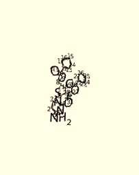 Nc1ccn([C@@H]2S[C@H](COC(=O)c3ccccc3)[C@@H](OC(=O)c3ccccc3)[C@@H]2F)c(=O)n1